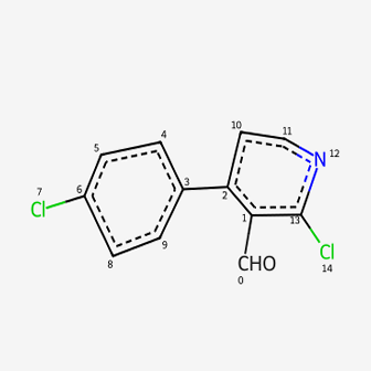 O=Cc1c(-c2ccc(Cl)cc2)ccnc1Cl